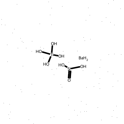 O=[Si](O)O.[BaH2].[OH][Ti]([OH])([OH])[OH]